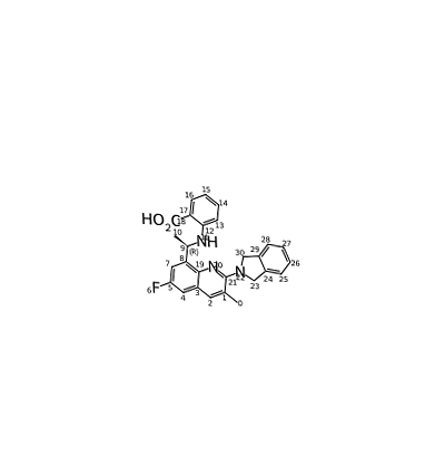 Cc1cc2cc(F)cc([C@@H](C)Nc3ccccc3C(=O)O)c2nc1N1Cc2ccccc2C1